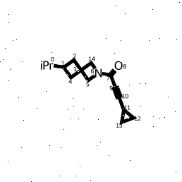 CC(C)C1CC2(C1)CN(C(=O)C#CC1CC1)C2